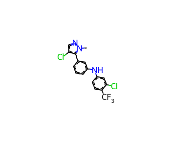 Cn1ncc(Cl)c1-c1cccc(Nc2ccc(C(F)(F)F)c(Cl)c2)c1